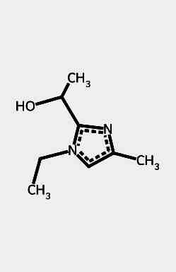 CCn1cc(C)nc1C(C)O